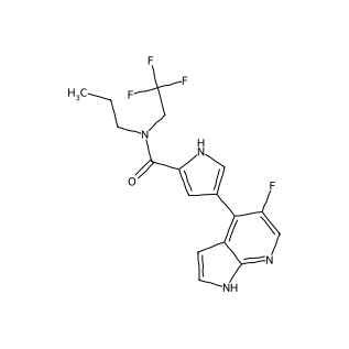 CCCN(CC(F)(F)F)C(=O)c1cc(-c2c(F)cnc3[nH]ccc23)c[nH]1